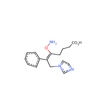 NO/C(CCCC(=O)O)=C(/Cn1ccnc1)c1ccccc1